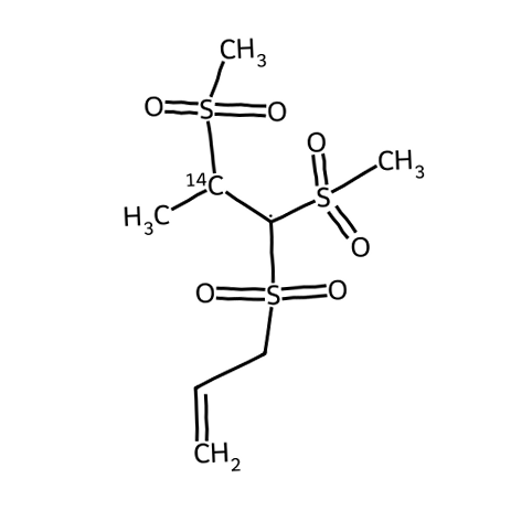 C=CCS(=O)(=O)[C]([14CH](C)S(C)(=O)=O)S(C)(=O)=O